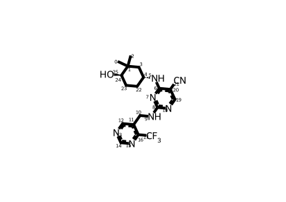 CC1(C)C[C@H](Nc2nc(NCc3cncnc3C(F)(F)F)ncc2C#N)CC[C@H]1O